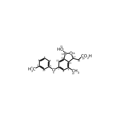 Cc1cccc(Oc2cc(C)c3c(c2)B(O)OC3CC(=O)O)c1